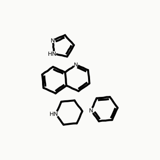 C1CCNCC1.c1ccc2ncccc2c1.c1ccncc1.c1cn[nH]c1